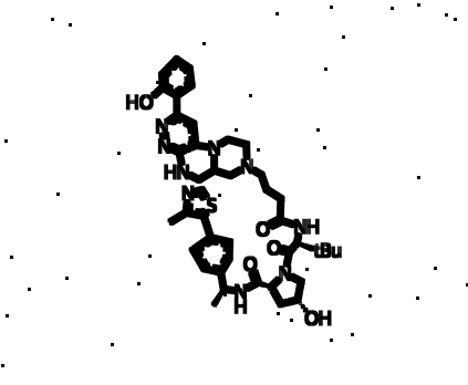 Cc1ncsc1-c1ccc([C@H](C)NC(=O)[C@@H]2C[C@@H](O)CN2C(=O)[C@@H](NC(=O)CCCN2CCN3c4cc(-c5ccccc5O)nnc4NCC3C2)C(C)(C)C)cc1